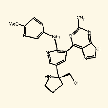 COc1ccc(Nc2ncc([C@]3(CO)CCCN3)cc2-c2nc(C)nc3[nH]cnc23)cn1